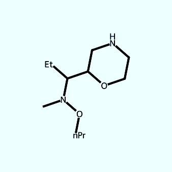 CCCON(C)C(CC)C1CNCCO1